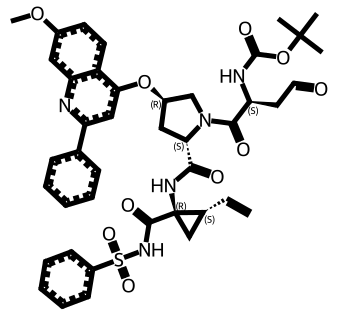 C=C[C@@H]1C[C@]1(NC(=O)[C@@H]1C[C@@H](Oc2cc(-c3ccccc3)nc3cc(OC)ccc23)CN1C(=O)[C@H](CC=O)NC(=O)OC(C)(C)C)C(=O)NS(=O)(=O)c1ccccc1